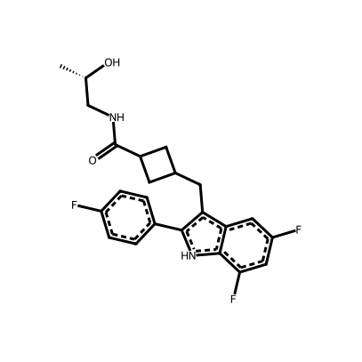 C[C@H](O)CNC(=O)C1CC(Cc2c(-c3ccc(F)cc3)[nH]c3c(F)cc(F)cc23)C1